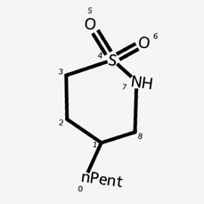 CCCCCC1CCS(=O)(=O)NC1